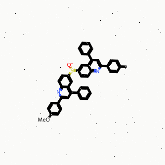 COc1ccc(-c2cc(-c3ccccc3)c3cc([S+]([O-])c4ccc5nc(-c6ccc(C)cc6)cc(-c6ccccc6)c5c4)ccc3n2)cc1